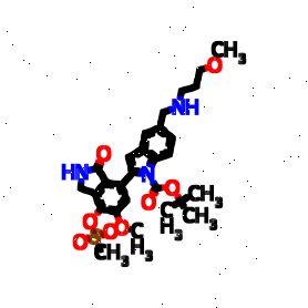 COCCCNCc1ccc2c(c1)cc(-c1cc(OC)c(OS(C)(=O)=O)c3c1C(=O)NC3)n2C(=O)OC(C)(C)C